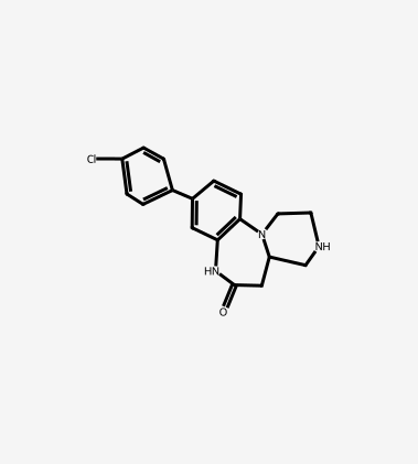 O=C1CC2CNCCN2c2ccc(-c3ccc(Cl)cc3)cc2N1